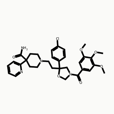 COc1cc(C(=O)N2COC(CCN3CCC(C(N)=O)(c4ccccn4)CC3)(c3ccc(Cl)cc3)C2)cc(OC)c1OC